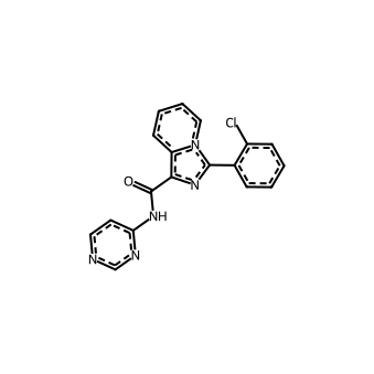 O=C(Nc1ccncn1)c1nc(-c2ccccc2Cl)n2ccccc12